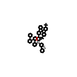 CC(C)(C)c1ccc2c(c1)C1(c3ccccc3-c3ccc(-c4ccc(N(c5ccc6sc7ccccc7c6c5)c5ccccc5-c5ccccc5-c5ccccc5-c5ccccc5)cc4)cc31)c1cc(C(C)(C)C)ccc1-2